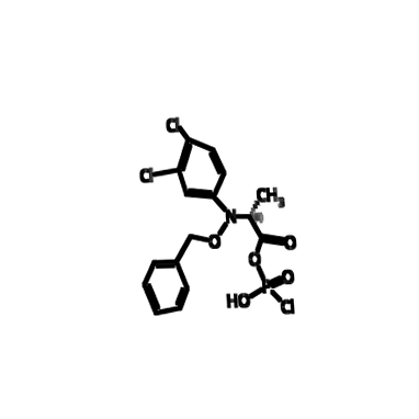 C[C@H](C(=O)OP(=O)(O)Cl)N(OCc1ccccc1)c1ccc(Cl)c(Cl)c1